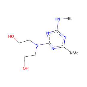 CCNc1nc(NC)nc(N(CCO)CCO)n1